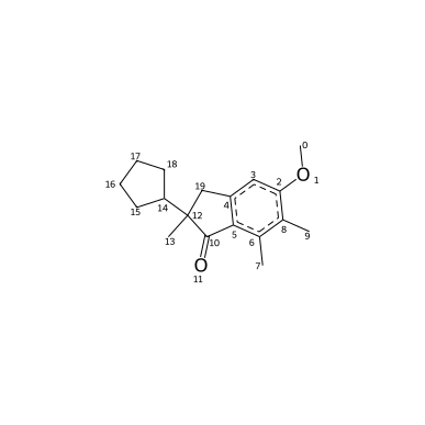 COc1cc2c(c(C)c1C)C(=O)C(C)(C1CCCC1)C2